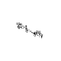 Cc1cc(OC(F)(F)F)ccc1S(=O)(=O)CNCCCCC(=O)CNCc1ccc(C2=NCCN2C(=O)O)cc1